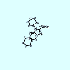 CSC1=NN2CC3=C(CCCC3)N=C2N1N1CCOCC1